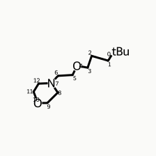 CC(C)(C)CCCOCCN1CCOCC1